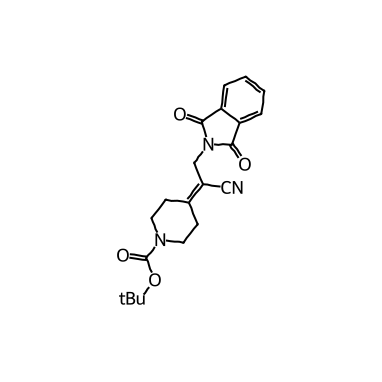 CC(C)(C)OC(=O)N1CCC(=C(C#N)CN2C(=O)c3ccccc3C2=O)CC1